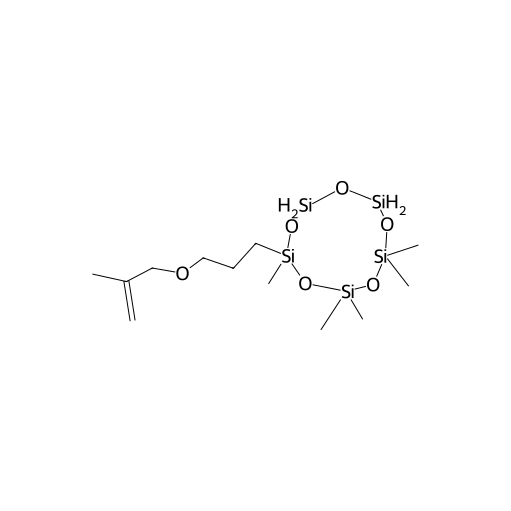 C=C(C)COCCC[Si]1(C)O[SiH2]O[SiH2]O[Si](C)(C)O[Si](C)(C)O1